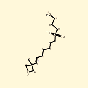 CC1(/C=C/CCCCCS(=O)(=O)CCCO)COC1